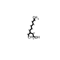 C=CCCCCCC(CC)CCO